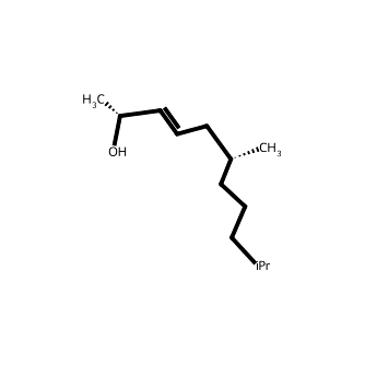 CC(C)CCC[C@@H](C)C/C=C/[C@@H](C)O